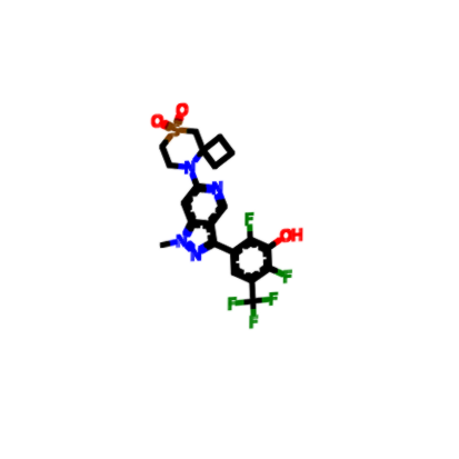 Cn1nc(-c2cc(C(F)(F)F)c(F)c(O)c2F)c2cnc(N3CCS(=O)(=O)CC34CCC4)cc21